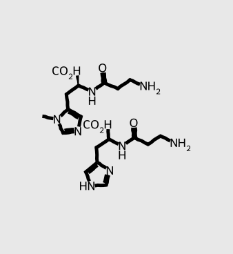 Cn1cncc1C[C@H](NC(=O)CCN)C(=O)O.NCCC(=O)NC(Cc1c[nH]cn1)C(=O)O